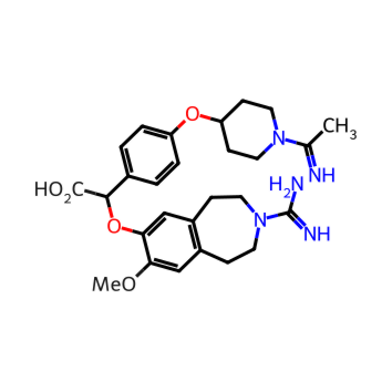 COc1cc2c(cc1OC(C(=O)O)c1ccc(OC3CCN(C(C)=N)CC3)cc1)CCN(C(=N)N)CC2